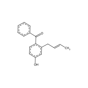 CC=CCc1cc(O)ccc1C(=O)c1ccccc1